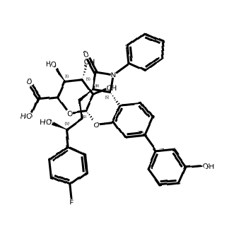 O=C(O)C1O[C@@H](Oc2cc(-c3cccc(O)c3)ccc2[C@@H]2[C@@H](CC[C@H](O)c3ccc(F)cc3)C(=O)N2c2ccccc2)C(O)[C@@H](O)[C@@H]1O